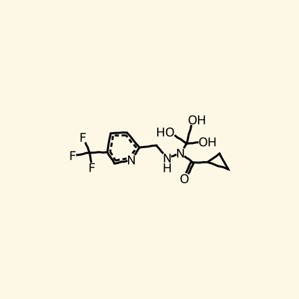 O=C(C1CC1)N(NCc1ccc(C(F)(F)F)cn1)C(O)(O)O